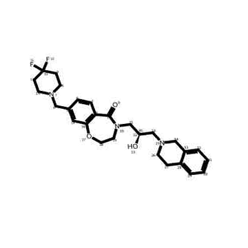 O=C1c2ccc(CN3CCC(F)(F)CC3)cc2OCCN1C[C@H](O)CN1CCc2ccccc2C1